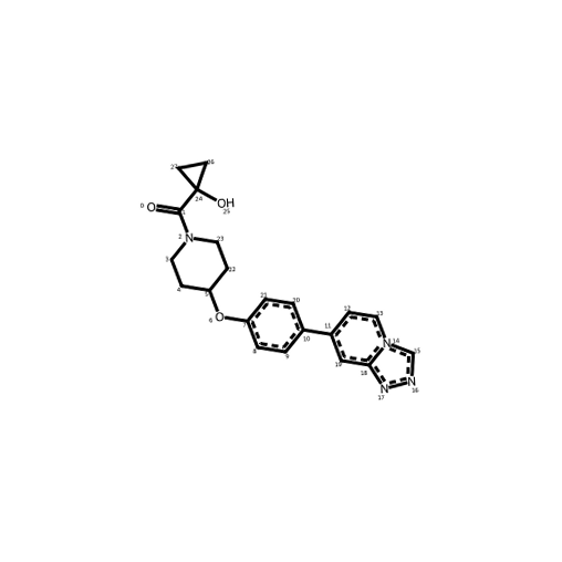 O=C(N1CCC(Oc2ccc(-c3ccn4cnnc4c3)cc2)CC1)C1(O)CC1